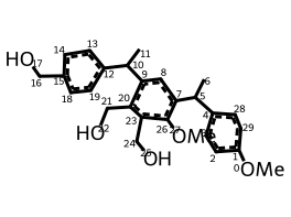 COc1ccc(C(C)c2cc(C(C)c3ccc(CO)cc3)c(CO)c(CO)c2OC)cc1